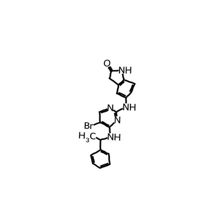 CC(Nc1nc(Nc2ccc3c(c2)CC(=O)N3)ncc1Br)c1ccccc1